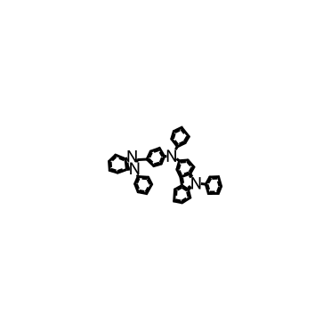 c1ccc(N(c2ccc(-c3nc4ccccc4n3-c3ccccc3)cc2)c2ccc3c(c2)c2ccccc2n3-c2ccccc2)cc1